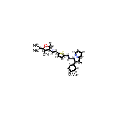 COc1ccc(-c2c(C)c3ccccn3c2/C=C/c2ccc(/C=C/C3=C(C#N)C(=C(C#N)C#N)OC3(C)C)s2)cc1